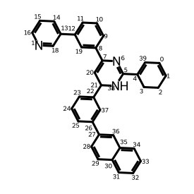 C1=CCCC(C2=NC(c3cccc(-c4cccnc4)c3)=CC(c3cccc(-c4ccc5ccccc5c4)c3)N2)=C1